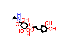 O=C(/C=C/c1ccc(O)c(O)c1)O[C@@H]1C[C@@](O)(C(=O)NC2CC2)C[C@@H](O)[C@@H]1O